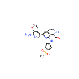 COc1cc(-c2cc3c(c(Nc4ccc(S(C)(=O)=O)cc4)n2)C(C=O)NC=C3)cnc1N